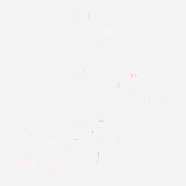 CC[C@H](O)CCC(C)(C)[C@H]1CC[C@@]2(C)C(CC[C@@H]2[C@H](C)CCOS(=O)(=O)O)C1[C@H](O)C(C)C